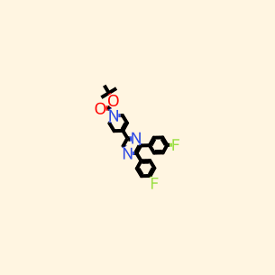 CC(C)(C)OC(=O)N1CC=C(c2cnc(-c3ccc(F)cc3)c(-c3ccc(F)cc3)n2)CC1